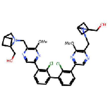 COc1nc(-c2cccc(-c3cccc(-c4cnc(CN5CC6CC5(CO)C6)c(OC)n4)c3Cl)c2Cl)cnc1CN1CC2CC1(CO)C2